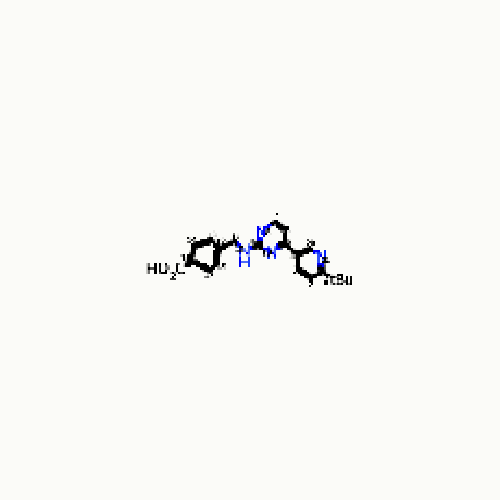 CC(C)(C)c1ccc(-c2ccnc(NCc3ccc(C(=O)O)cc3)n2)cn1